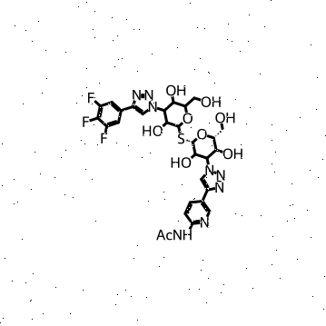 CC(=O)Nc1ccc(-c2cn(C3C(O)[C@@H](CO)O[C@@H](SC4OC(CO)C(O)C(n5cc(-c6cc(F)c(F)c(F)c6)nn5)C4O)C3O)nn2)cn1